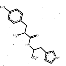 NC(Cc1ccc(O)cc1)C(=O)NC(Cc1c[nH]cn1)C(=O)O